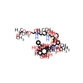 COCCC(C)(C)OCCOCC[C@@H](O)NCCCCC(N[C@@H](O)[C@H]1SC([C@@H](O)O[C@H]([C@H](O)O[C@@H]2C[C@]3(O)[C@H](O[C@H](O)c4ccccc4)[C@H]4[C@@]5(O[C@H](C)O)CO[C@H]5C[C@@H](O)[C@]4(C)[C@@H](O)[C@@H](O)[C@@H](C2C)C3(C)C)[C@H](N[C@@H](O)OC(C)(C)C)c2ccccc2)[C@H]2OCCCOC21)[C@H](O)C(C)(C)C